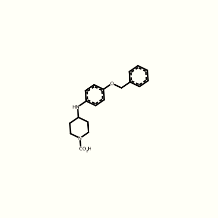 O=C(O)N1CCC(Nc2ccc(OCc3ccccc3)cc2)CC1